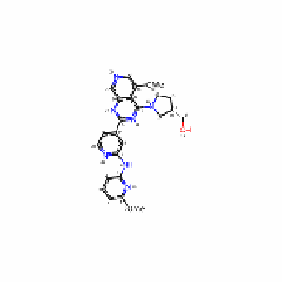 COc1cccc(Nc2cc(-c3nc(N4CC[C@H](CO)C4)c4c(OC)cncc4n3)ccn2)n1